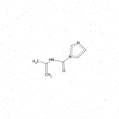 C=C(C)NC(=O)n1ccnc1